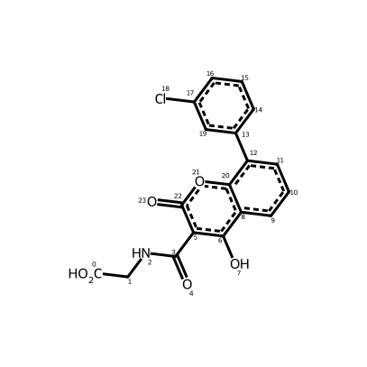 O=C(O)CNC(=O)c1c(O)c2cccc(-c3cccc(Cl)c3)c2oc1=O